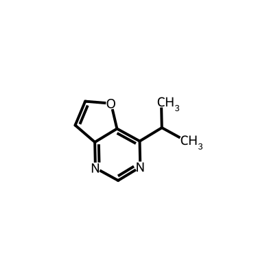 CC(C)c1ncnc2ccoc12